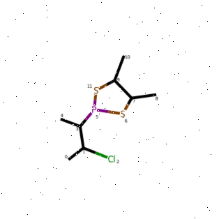 CC(Cl)C(C)P1SC(C)C(C)S1